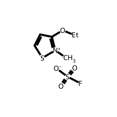 CCOc1ccs[n+]1C.O=S(=O)([O-])F